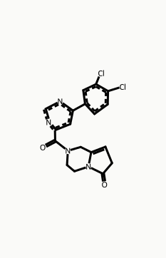 O=C(c1cc(-c2ccc(Cl)c(Cl)c2)ncn1)N1CCN2C(=O)CC=C2C1